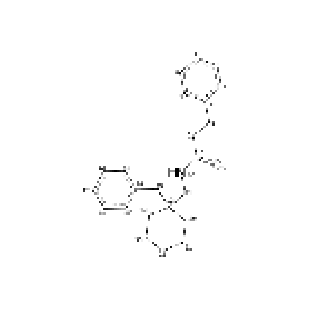 O=C(CCc1ccccc1)NCC1(Cc2ccccc2)CCCCC1